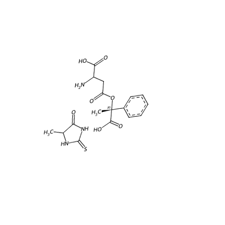 CC1NC(=S)NC1=O.C[C@](OC(=O)CC(N)C(=O)O)(C(=O)O)c1ccccc1